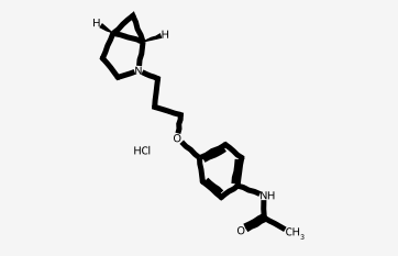 CC(=O)Nc1ccc(OCCCN2CC[C@@H]3C[C@@H]32)cc1.Cl